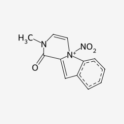 CN1C=C[N+]2([N+](=O)[O-])C(=Cc3ccccc32)C1=O